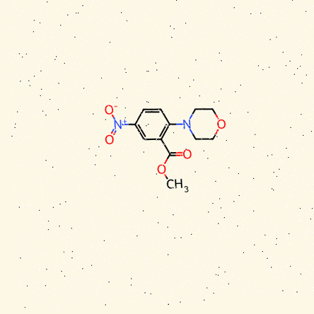 COC(=O)c1cc([N+](=O)[O-])ccc1N1CCOCC1